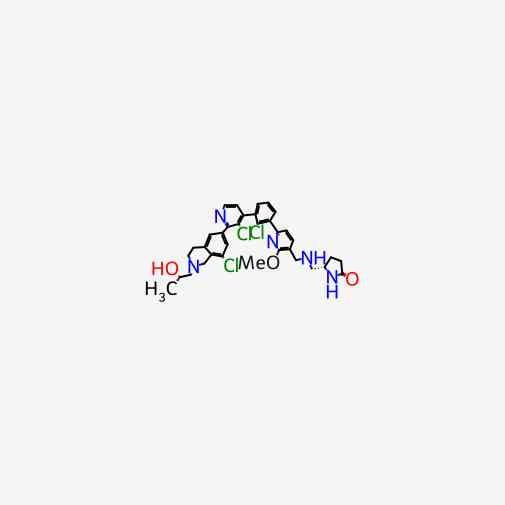 COc1nc(-c2cccc(-c3ccnc(-c4cc(Cl)c5c(c4)CCN(C[C@@H](C)O)C5)c3Cl)c2Cl)ccc1CNC[C@@H]1CCC(=O)N1